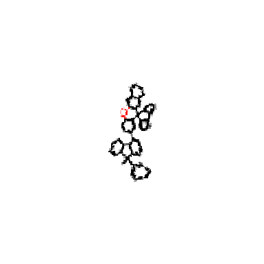 CC1(c2ccccc2)c2ccccc2-c2c(-c3ccc4c(c3)C3(c5cc6ccccc6cc5O4)c4ccccc4-c4ccccc43)cccc21